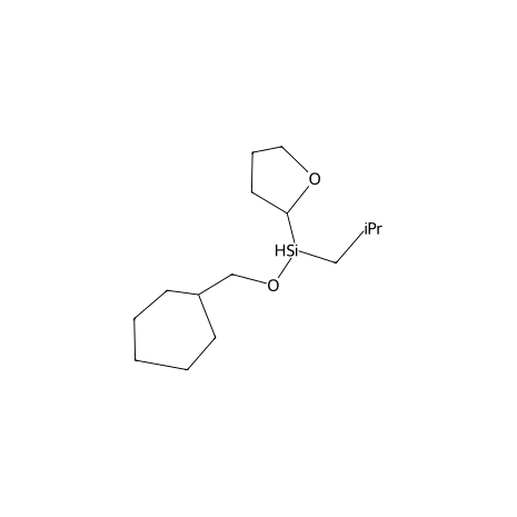 CC(C)C[SiH](OCC1CCCCC1)C1CCCO1